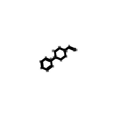 O=CN1CCN(c2cc[c]cc2)CC1